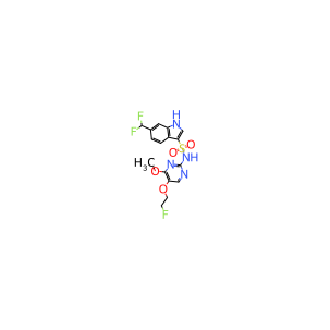 COc1nc(NS(=O)(=O)c2c[nH]c3cc(C(F)F)ccc23)ncc1OCCF